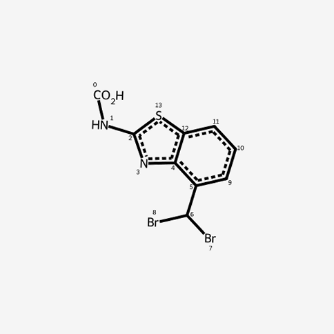 O=C(O)Nc1nc2c(C(Br)Br)cccc2s1